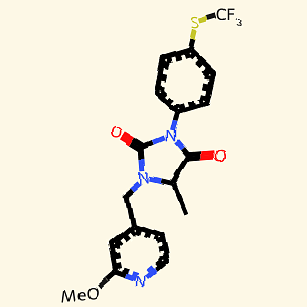 COc1cc(CN2C(=O)N(c3ccc(SC(F)(F)F)cc3)C(=O)C2C)ccn1